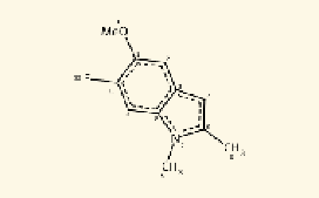 COc1cc2cc(C)n(C)c2cc1F